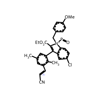 CCOC(=O)C1=C(c2cc(C)cc(/C=C/C#N)c2C)c2cc(Cl)ccc2[N+]1(Cc1ccc(OC)cc1)P=O